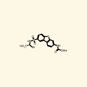 COC(=O)Nc1ccc2c(c1)oc1ccc(S(=O)(=O)N[C@H](C(=O)O)C(C)C)cc12